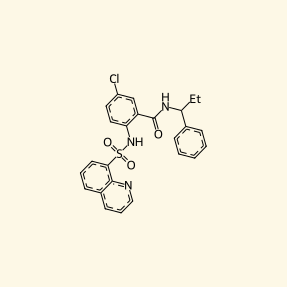 CCC(NC(=O)c1cc(Cl)ccc1NS(=O)(=O)c1cccc2cccnc12)c1ccccc1